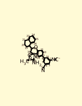 [C-]#[N+]c1cc(C#N)cc(-c2ccc3c(c2)C2(CC(C4CCCc5ccccc54)O3)N=C(N)N(C)O2)c1